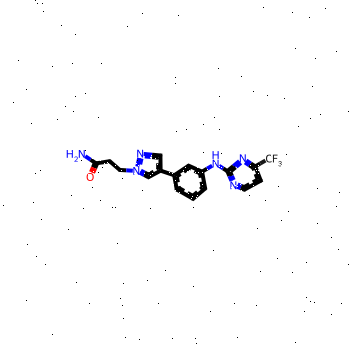 NC(=O)CCn1cc(-c2cccc(Nc3nccc(C(F)(F)F)n3)c2)cn1